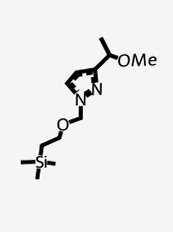 COC(C)c1ccn(COCC[Si](C)(C)C)n1